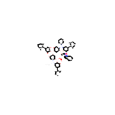 CSN1c2cc3c(cc2B2c4ccccc4Oc4cc(-c5c(C)cccc5C)cc1c42)B1c2cc4c(cc2Oc2cc(-c5c(C)cccc5C)cc(c21)O3)N(c1ccccc1)c1cc(-c2c(C)cccc2C)cc2c1B4c1cccc3c4ccccc4n-2c13